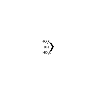 O=C(O)CC(=O)O.[KH]